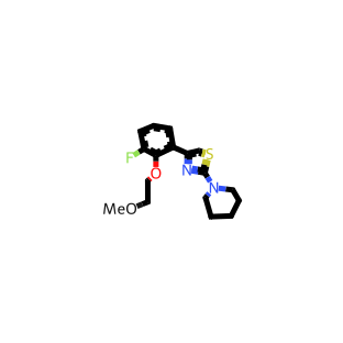 COCCOc1c(F)cccc1-c1csc(N2CCCCC2)n1